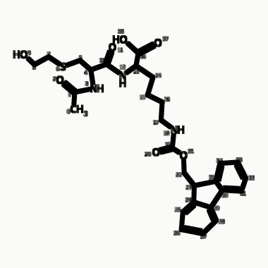 CC(=O)NC(CSCCO)C(=O)NC(CCCCNC(=O)OCC1c2ccccc2-c2ccccc21)C(=O)O